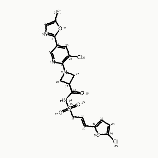 CCc1cnc(-c2cnc(N3CC(C(=O)NS(=O)(=O)CC=Cc4ccc(Cl)s4)C3)c(Cl)c2)o1